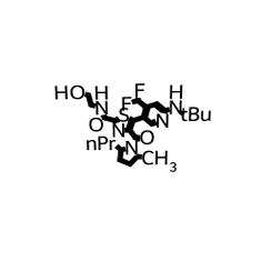 CCCC1CCC(C)N1C(=O)c1nc(C(=O)NCCO)sc1-c1cnc(NC(C)(C)C)cc1C(F)F